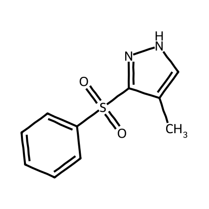 Cc1c[nH]nc1S(=O)(=O)c1ccccc1